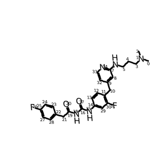 CN(C)CCCNc1cc(Cc2ccc(NC(=O)NC(=O)Cc3ccc(F)cc3)cc2F)ccn1